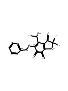 O=C1C(=O)C2=C(C(=O)C(F)(F)S2)C(C(F)F)=C1OCc1ccccc1